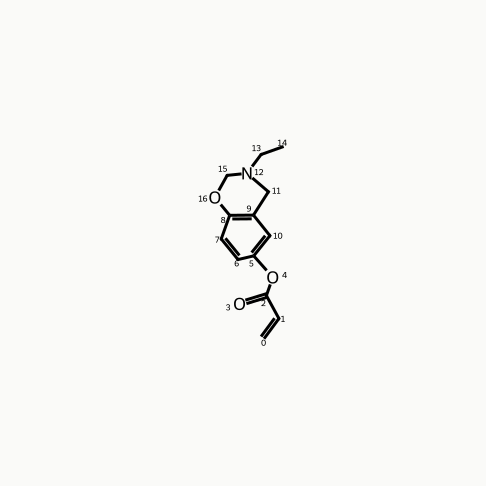 C=CC(=O)Oc1ccc2c(c1)CN(CC)CO2